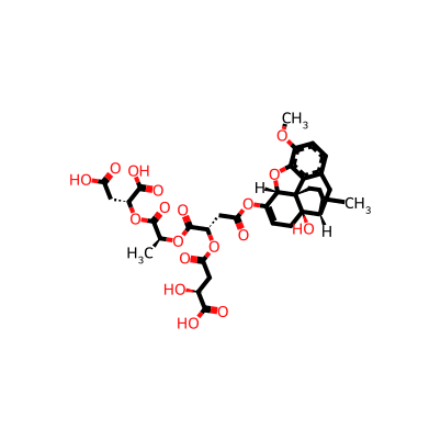 COc1ccc2c3c1O[C@H]1C(OC(=O)C[C@H](OC(=O)C[C@H](O)C(=O)O)C(=O)O[C@@H](C)C(=O)O[C@H](CC(=O)O)C(=O)O)=CC[C@@]4(O)[C@@H](C2)C(C)CC[C@]314